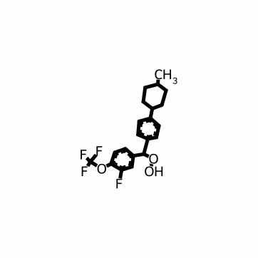 CC1CCC(c2ccc(C(OO)c3ccc(OC(F)(F)F)c(F)c3)cc2)CC1